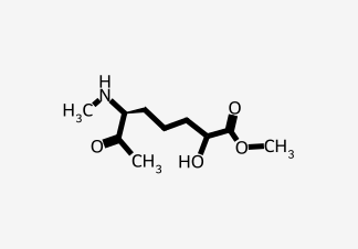 CN[C@@H](CCCC(O)C(=O)OC)C(C)=O